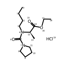 CCCCN(C(=O)N1CCCC1)[C@H](C)C(=O)OCC.Cl